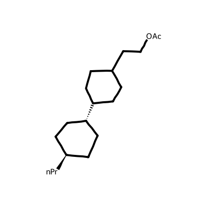 CCC[C@H]1CC[C@H](C2CCC(CCOC(C)=O)CC2)CC1